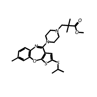 COC(=O)C(C)(C)CN1CCN(C2=Nc3ccc(C)cc3Oc3sc(SC(C)C)cc32)CC1